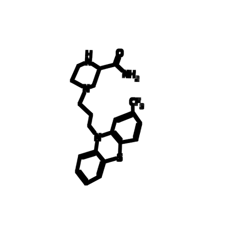 NC(=O)C1CN(CCCN2c3ccccc3Sc3ccc(C(F)(F)F)cc32)CCN1